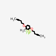 CC#CCCCOc1ccc(OCCCC#CC)c(S(F)(F)(F)(F)F)c1C